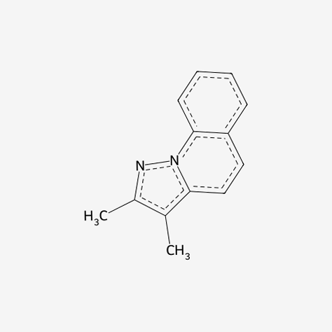 Cc1nn2c(ccc3ccccc32)c1C